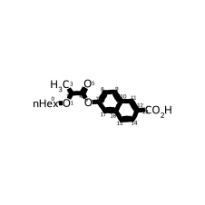 CCCCCCOC(C)C(=O)Oc1ccc2cc(C(=O)O)ccc2c1